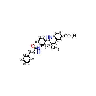 CC1(C)Cc2cc(C(=O)O)ccc2NC1c1cccc(NC(=O)CCc2ccccc2)c1